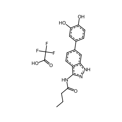 CCCC(=O)Nc1n[nH]c2cc(-c3ccc(O)c(O)c3)ccc12.O=C(O)C(F)(F)F